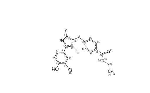 Cc1nn(-c2ccc(C#N)c(Cl)c2)c(C)c1Cc1ccc(C(=O)NCC(F)(F)F)cc1